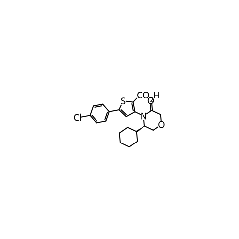 O=C(O)c1sc(-c2ccc(Cl)cc2)cc1N1C(=O)COC[C@H]1C1CCCCC1